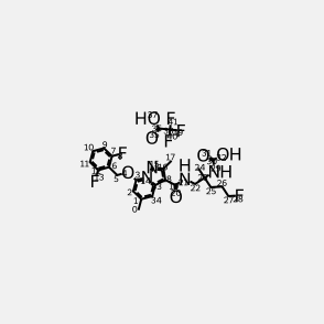 Cc1cc(OCc2c(F)cccc2F)n2nc(C)c(C(=O)NCC(C)(CCCF)NC(=O)O)c2c1.O=C(O)C(F)(F)F